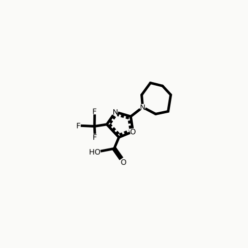 O=C(O)c1oc(N2CCCCCC2)nc1C(F)(F)F